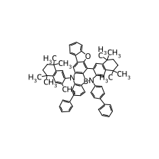 Cc1cc2c(cc1N1c3cc(-c4ccccc4)ccc3B3c4c1cc1c(oc5ccccc51)c4-c1cc4c(cc1N3c1ccc(-c3ccccc3)cc1)C(C)(C)CCC4(C)C)C(C)(C)CCC2(C)C